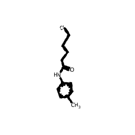 Cc1ccc(NC(=O)CCCCCl)cc1